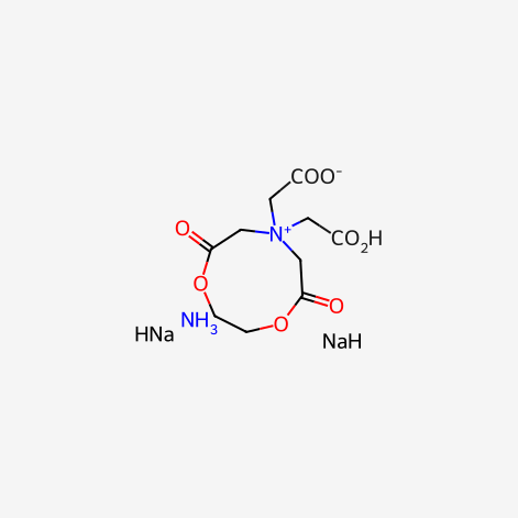 N.O=C([O-])C[N+]1(CC(=O)O)CC(=O)OCCOC(=O)C1.[NaH].[NaH]